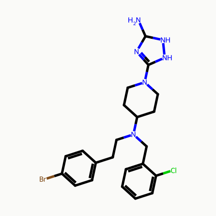 NC1N=C(N2CCC(N(CCc3ccc(Br)cc3)Cc3ccccc3Cl)CC2)NN1